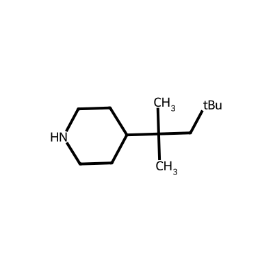 CC(C)(C)CC(C)(C)C1CCNCC1